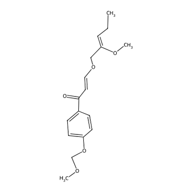 CCC=C(COC=CC(=O)c1ccc(OCOC)cc1)OC